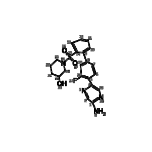 Nc1cnc(-c2ccc(-c3ccccc3S(=O)(=O)N3CCCC(O)C3)cc2F)cn1